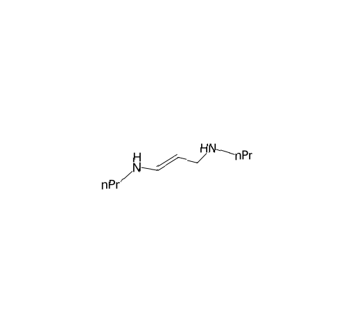 CCCNC=CCNCCC